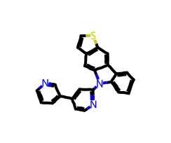 c1cncc(-c2ccnc(-n3c4ccccc4c4cc5sccc5cc43)c2)c1